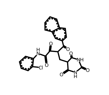 O=C1NC(=O)C(CC(C(=O)C(=O)Nc2ccccc2Cl)C(=O)c2ccc3ccccc3c2)C(=O)N1